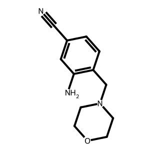 N#Cc1ccc(CN2CCOCC2)c(N)c1